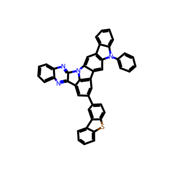 c1ccc(-n2c3ccccc3c3cc4c(cc32)c2cc(-c3ccc5sc6ccccc6c5c3)cc3c5nc6ccccc6nc5n4c23)cc1